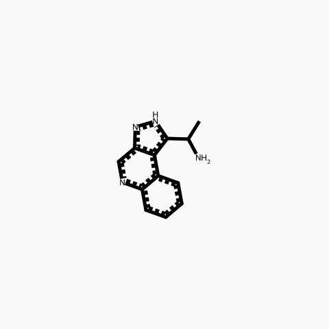 CC(N)c1[nH]nc2cnc3ccccc3c12